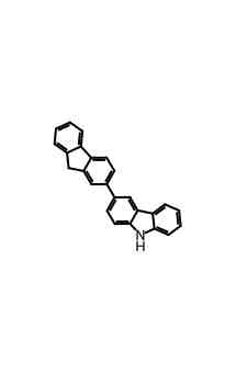 c1ccc2c(c1)Cc1cc(-c3ccc4[nH]c5ccccc5c4c3)ccc1-2